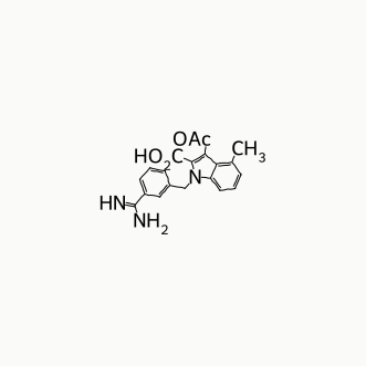 CC(=O)Oc1c(C(=O)O)n(Cc2cccc(C(=N)N)c2)c2cccc(C)c12